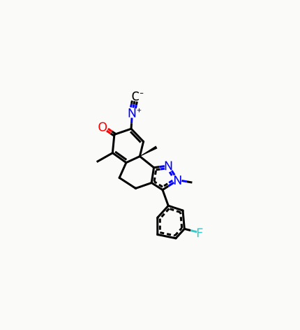 [C-]#[N+]C1=C[C@@]2(C)C(=C(C)C1=O)CCc1c2nn(C)c1-c1cccc(F)c1